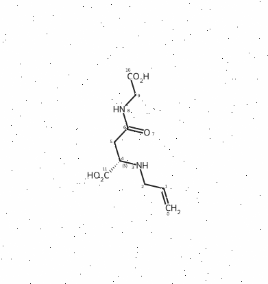 C=CCN[C@@H](CC(=O)NCC(=O)O)C(=O)O